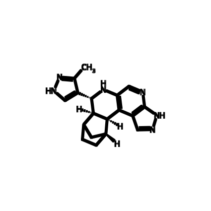 Cc1n[nH]cc1[C@@H]1Nc2cnc3[nH]ncc3c2[C@H]2[C@@H]3CCC(C3)[C@H]21